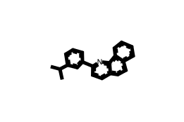 CC(C)c1cccc(-c2ccc3ccc4ccccc4c3n2)c1